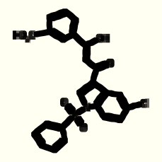 O=C(O)c1cccc(C(O)=CC(=O)c2cn(S(=O)(=O)c3ccccc3)c3ccc(Cl)cc23)c1